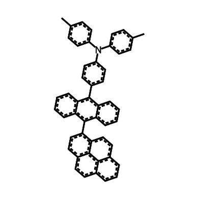 Cc1ccc(N(c2ccc(C)cc2)c2ccc(-c3c4ccccc4c(-c4ccc5ccc6cccc7ccc4c5c67)c4ccccc34)cc2)cc1